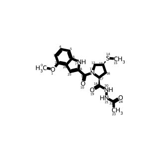 COc1cccc2[nH]c(C(=O)N3C[C@H](SC)C[C@H]3C(=O)NNC(C)=O)cc12